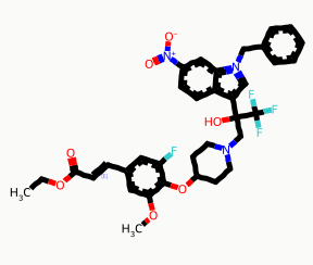 CCOC(=O)/C=C/c1cc(F)c(OC2CCN(CC(O)(c3cn(Cc4ccccc4)c4cc([N+](=O)[O-])ccc34)C(F)(F)F)CC2)c(OC)c1